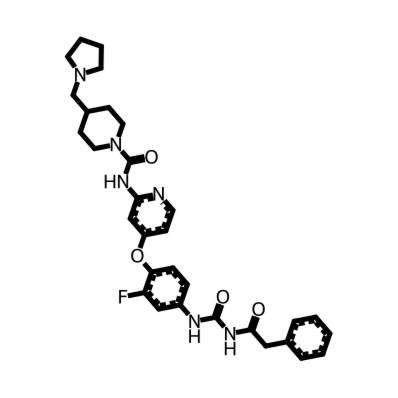 O=C(Cc1ccccc1)NC(=O)Nc1ccc(Oc2ccnc(NC(=O)N3CCC(CN4CCCC4)CC3)c2)c(F)c1